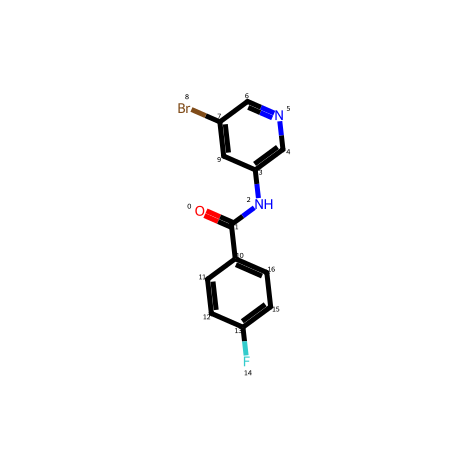 O=C(Nc1cncc(Br)c1)c1ccc(F)cc1